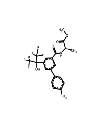 COC(=O)[C@@H](C)NC(=O)c1cc(-c2ccc(C)cc2)cc(C(O)(C(F)(F)F)C(F)(F)F)c1